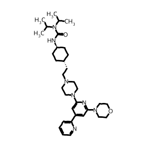 CC(C)N(C(=O)N[C@H]1CC[C@H](CCN2CCN(c3cc(-c4ccccn4)cc(N4CCOCC4)n3)CC2)CC1)C(C)C